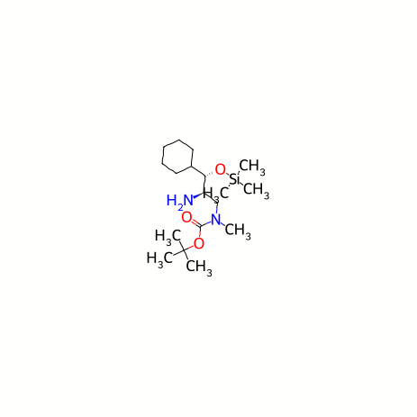 CN(C[C@@H](N)[C@@H](O[Si](C)(C)C)C1CCCCC1)C(=O)OC(C)(C)C